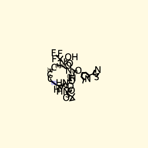 Cc1cc(O[C@@H]2C[C@H]3C(=O)N[C@]4(C(=O)NS(=O)(=O)C5(C)CC5)C[C@H]4/C=C\CC[C@H](C)C[C@@H](C)[C@H](N(C(=O)O)C(C)(C)C(F)(F)F)C(=O)N3C2)cc(-c2cncs2)n1